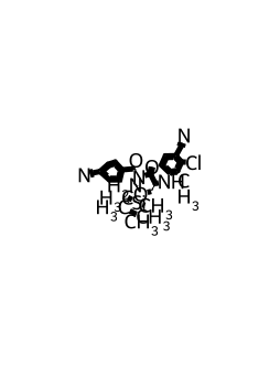 Cc1c(N[C@H](CO[Si](C)(C)C(C)(C)C)C(=O)N(N)C(=O)c2ccc(C#N)cc2)ccc(C#N)c1Cl